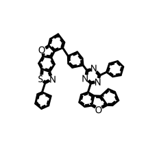 c1ccc(-c2nc(-c3ccc(-c4cccc5oc6cc7sc(-c8ccccc8)nc7cc6c45)cc3)nc(-c3cccc4oc5ccccc5c34)n2)cc1